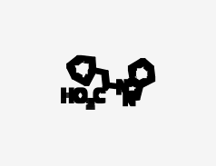 O=C(O)C(=Cc1ccccc1)n1ncc2ccccc21